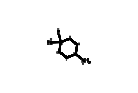 CCC1(F)CCC(N)CC1